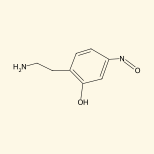 NCCc1ccc(N=O)cc1O